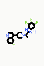 CC(c1nc2c(F)c(F)c(F)cc2[nH]1)N1CCC(c2ccnc3ccc(F)cc23)CC1